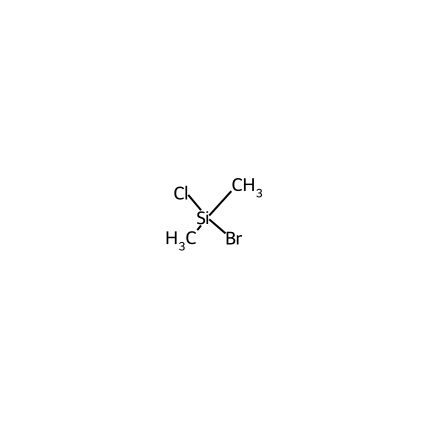 C[Si](C)(Cl)Br